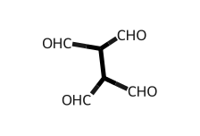 O=CC(C=O)C(C=O)C=O